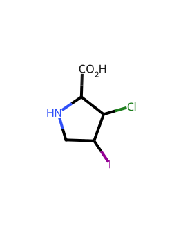 O=C(O)C1NCC(I)C1Cl